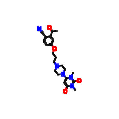 CC(=O)c1cc(OCCCN2CCN(c3cc(=O)n(C)c(=O)n3C)CC2)ccc1C#N